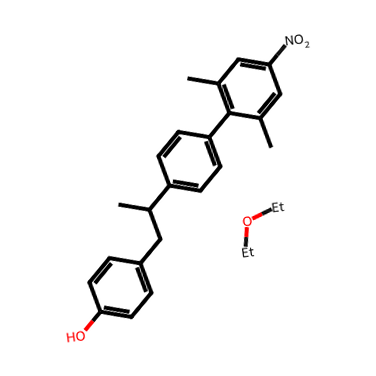 CCOCC.Cc1cc([N+](=O)[O-])cc(C)c1-c1ccc(C(C)Cc2ccc(O)cc2)cc1